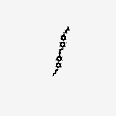 CCCCC[C@H]1CC[C@H](c2ccc(C#CC=C[C@H]3CC[C@H](c4ccc(OCCCC)cc4)CC3)cc2)CC1